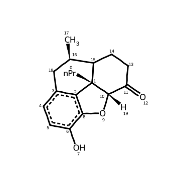 CCC[C@]12c3c4ccc(O)c3O[C@H]1C(=O)CCC2[C@H](C)C4